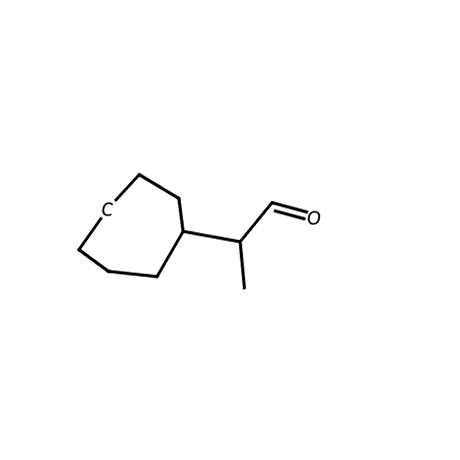 CC(C=O)C1CCCCCC1